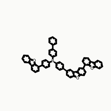 c1ccc(-c2ccc(N(c3ccc(-c4ccc5oc6ccc(-c7cccc8c7oc7ccccc78)cc6c5c4)cc3)c3ccc(-c4cccc5c4oc4ccccc45)cc3)cc2)cc1